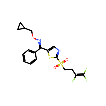 O=S(=O)(CCC(F)=C(F)F)c1ncc(/C(=N/OCC2CC2)c2ccccc2)s1